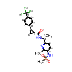 Cc1nc([C@@H](C)NC(=O)[C@@H]2C[C@H]2c2ccc(C(F)(F)F)cc2)ccc1NS(C)(=O)=O